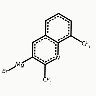 FC(F)(F)c1nc2c(C(F)(F)F)cccc2c[c]1[Mg][Br]